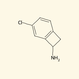 NC1Cc2ccc(Cl)cc21